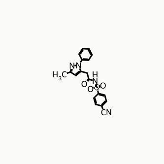 Cc1cc(CC(=O)NS(=O)(=O)c2ccc(C#N)cc2)n(-c2ccccc2)n1